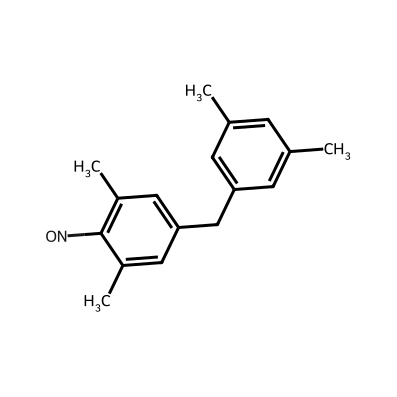 Cc1cc(C)cc(Cc2cc(C)c(N=O)c(C)c2)c1